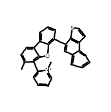 Cc1ccc2c(oc3c(-c4cc5ccccc5c5ccsc45)cccc32)c1-c1cccc[n+]1C